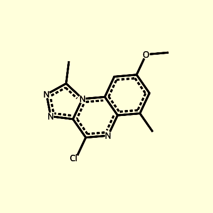 COc1cc(C)c2nc(Cl)c3nnc(C)n3c2c1